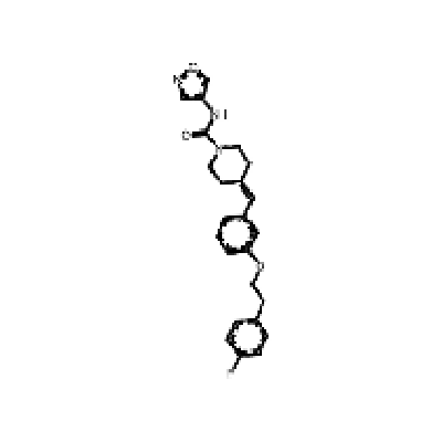 O=C(Nc1cnoc1)N1CCC(=Cc2cccc(OCCc3ccc(F)cc3)c2)CC1